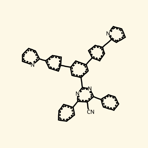 N#Cc1c(-c2ccccc2)nc(-c2cc(-c3ccc(-c4ccccn4)cc3)cc(-c3ccc(-c4ccccn4)cc3)c2)nc1-c1ccccc1